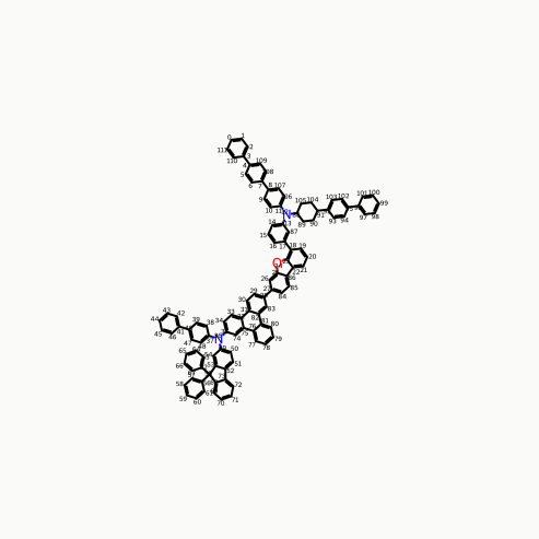 c1ccc(-c2ccc(-c3ccc(N(c4cccc(-c5cccc6c5oc5cc(-c7ccc8c9ccc(N(c%10ccc(-c%11ccccc%11)cc%10)c%10ccc%11c(c%10)C(c%10ccccc%10)(c%10ccccc%10)c%10ccccc%10-%11)cc9c9ccccc9c8c7)ccc56)c4)C4CCC(c5ccc(-c6ccccc6)cc5)CC4)cc3)cc2)cc1